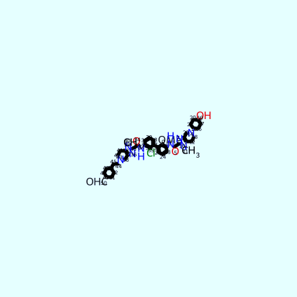 COc1c(NC(=O)c2nc3c(n2C)CCN(C2CCC(O)CC2)C3)cccc1-c1cccc(NC(=O)c2nc3c(n2C)CCN(CCC2CCC(C=O)CC2)C3)c1Cl